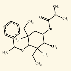 CCC1(C)CC(NC(=O)N(C)C)C(C)C(C)(CC)N1OC(C)c1ccccc1